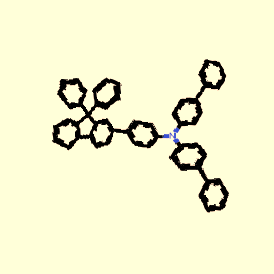 C1=C=C(C2(c3ccccc3)c3ccccc3-c3ccc(-c4ccc(N(c5ccc(-c6ccccc6)cc5)c5ccc(-c6ccccc6)cc5)cc4)cc32)C=CC=1